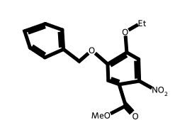 CCOc1cc([N+](=O)[O-])c(C(=O)OC)cc1OCc1ccccc1